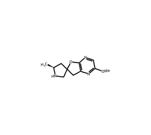 COc1cnc2c(n1)CC1(CN[C@@H](C)C1)O2